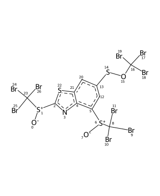 [O-][S+](c1nc2c([S+]([O-])C(Br)(Br)Br)cc(SOC(Br)(Br)Br)cc2s1)C(Br)(Br)Br